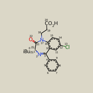 CC[C@H](C)[C@@H]1N=C(c2ccccc2)c2cc(Cl)ccc2N(CCC(=O)O)C1=O